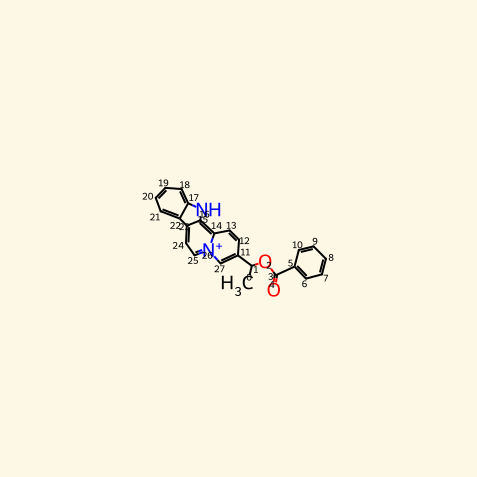 CC(OC(=O)c1ccccc1)c1ccc2c3[nH]c4ccccc4c3cc[n+]2c1